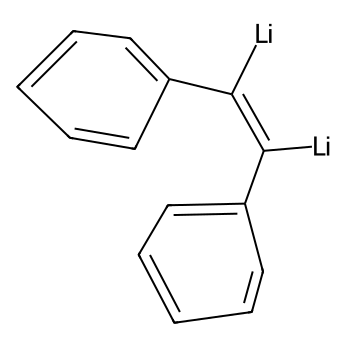 [Li][C](=[C]([Li])c1ccccc1)c1ccccc1